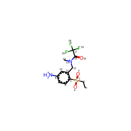 CCS(=O)(=O)c1ccc(N)cc1CN(C)C(=O)C(F)(F)F